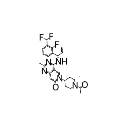 C=C[C@@H](Nc1nc(C)nc2cc(=O)n(C3CCN(C(C)=O)[C@@H](C)C3)cc12)c1cccc(C(F)F)c1F